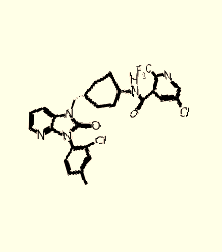 Cc1ccc(-n2c(=O)n(C[C@H]3CC[C@H](NC(=O)c4cc(Cl)cnc4C(F)(F)F)CC3)c3cccnc32)c(Cl)c1